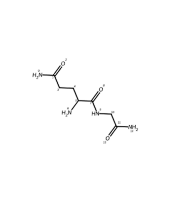 NC(=O)CCC(N)C(=O)NCC(N)=O